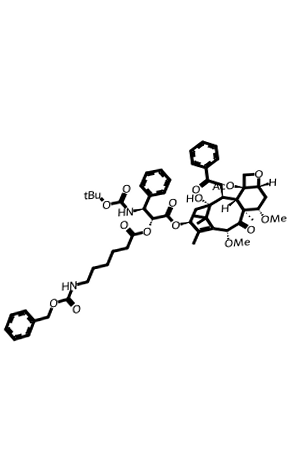 CO[C@H]1C(=O)[C@]2(C)[C@@H](OC)C[C@H]3OC[C@@]3(OC(C)=O)[C@H]2[C@H](CC(=O)c2ccccc2)[C@]2(O)C[C@H](OC(=O)[C@H](OC(=O)CCCCCNC(=O)OCc3ccccc3)[C@@H](NC(=O)OC(C)(C)C)c3ccccc3)C(C)=C1C2(C)C